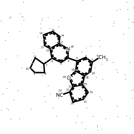 Cc1cc(-c2cc(C3CCCC3)c3ccccc3n2)c2oc3c(C#N)cccc3c2c1